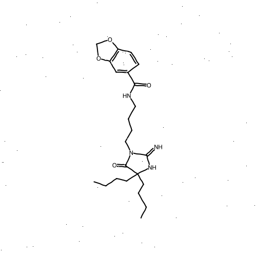 CCCCC1(CCCC)NC(=N)N(CCCCNC(=O)c2ccc3c(c2)OCO3)C1=O